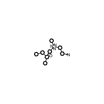 N#Cc1cccc(-c2cccc(-c3nc(-c4ccccc4)nc(-c4ccc5c(c4)oc4cc(-c6ccccc6)cc(-c6cccc(-c7ccccc7)c6)c45)n3)c2)c1